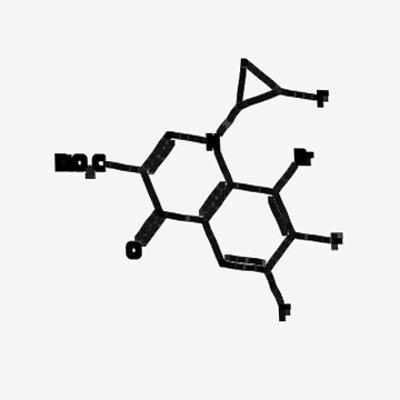 CCOC(=O)c1cn(C2CC2F)c2c(Br)c(F)c(F)cc2c1=O